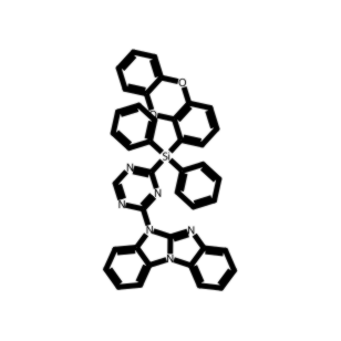 c1ccc([Si](c2ccccc2)(c2ncnc(-n3c4ccccc4n4c5ccccc5nc34)n2)c2cccc3c2Oc2ccccc2O3)cc1